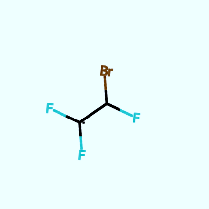 F[C](F)C(F)Br